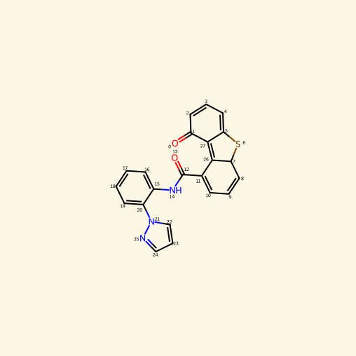 O=C1C=CC=C2SC3C=CC=C(C(=O)Nc4ccccc4-n4cccn4)C3=C12